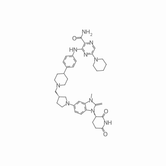 C=C1N(C)c2cc(N3CC[C@@H](CN4CCC(c5ccc(Nc6nc(N7CCCCC7)cnc6C(N)=O)cc5)CC4)C3)ccc2N1[C@@H]1CCC(=O)NC1=O